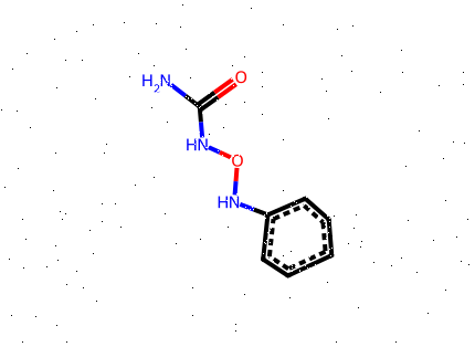 NC(=O)NONc1ccccc1